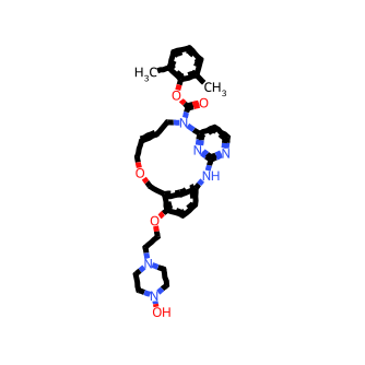 Cc1cccc(C)c1OC(=O)N1C/C=C/COCc2cc(ccc2OCCN2CCN(O)CC2)Nc2nccc1n2